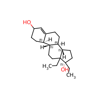 CCC12CC[C@H]3[C@@H](CCC4=CC(O)CC[C@@H]43)[C@@H]1CC[C@@]2(O)CC